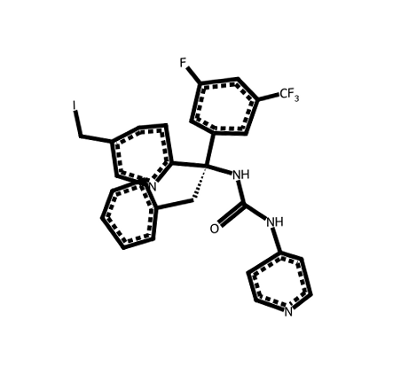 O=C(Nc1ccncc1)N[C@](Cc1ccccc1)(c1cc(F)cc(C(F)(F)F)c1)c1ccc(CI)cn1